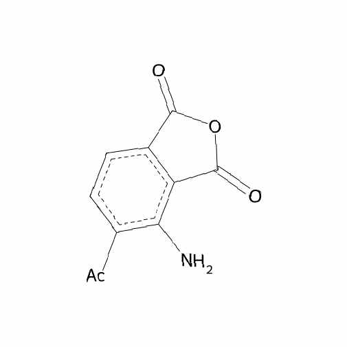 CC(=O)c1ccc2c(c1N)C(=O)OC2=O